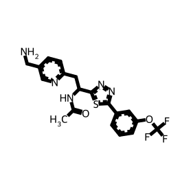 CC(=O)NC(Cc1ccc(CN)cn1)c1nnc(-c2cccc(OC(F)(F)F)c2)s1